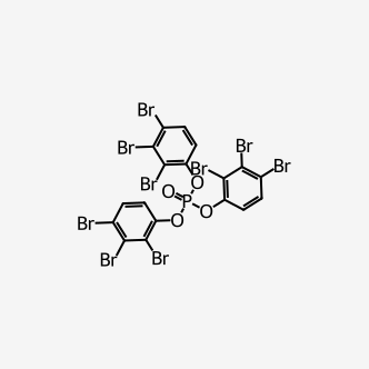 O=P(Oc1ccc(Br)c(Br)c1Br)(Oc1ccc(Br)c(Br)c1Br)Oc1ccc(Br)c(Br)c1Br